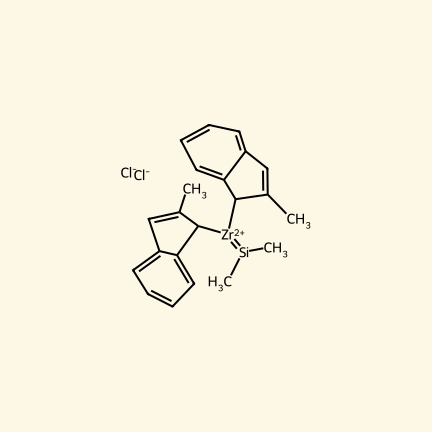 CC1=Cc2ccccc2[CH]1[Zr+2]([CH]1C(C)=Cc2ccccc21)=[Si](C)C.[Cl-].[Cl-]